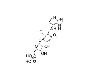 COc1ccc(OC2O[C@H](COP(=O)(O)O)[C@@H](O)[C@H]2O)c(O)c1CNc1ncnc2nc[nH]c12